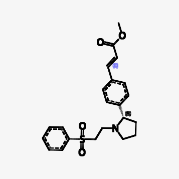 COC(=O)/C=C/c1ccc([C@@H]2CCCN2CCS(=O)(=O)c2ccccc2)cc1